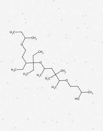 CCC(C)OCCC(CC)C(CC)(CC)OC(C)CC(C)(C)C(C)OCCC(C)O